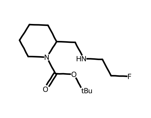 CC(C)(C)OC(=O)N1CCCCC1CNCCF